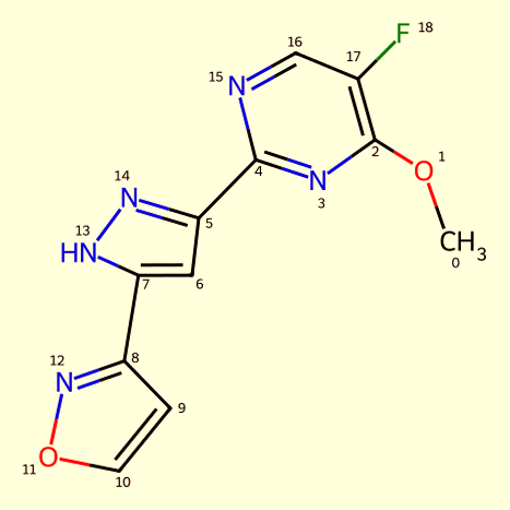 COc1nc(-c2cc(-c3ccon3)[nH]n2)ncc1F